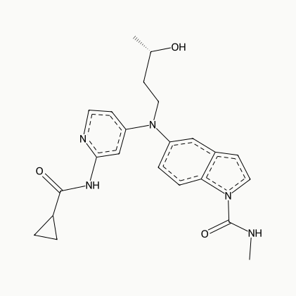 CNC(=O)n1ccc2cc(N(CC[C@H](C)O)c3ccnc(NC(=O)C4CC4)c3)ccc21